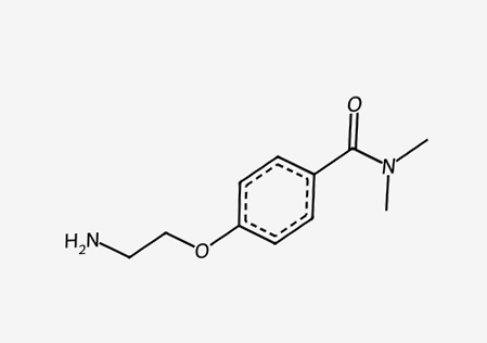 CN(C)C(=O)c1ccc(OCCN)cc1